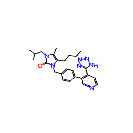 CCCCc1c(C)n(CC(C)C)c(=O)n1Cc1ccc(-c2cnccc2-c2nnn[nH]2)cc1